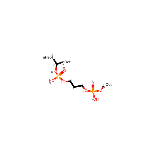 CCCCCCCCOP(=O)(O)OCCCOP(=O)(O)OC(CCCCCCC)CCCCCCCC